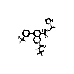 CC(CNC(=O)C1C=CC(c2cccc(C(F)(F)F)c2)=C2CCN(C(=O)NC(C)(C)C)CC21)n1cccn1